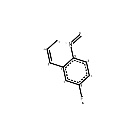 C=Nc1ccc(F)cc1/C=C\C